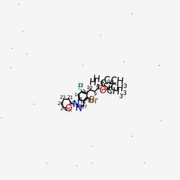 CC(C)(C)[Si](C)(C)OCCCc1c(F)cc2c(cnn2C2CCCCO2)c1Br